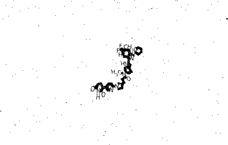 CN(C(=O)CCC1CCN(c2ccc(C3CCC(=O)NC3=O)cn2)C1)c1ccc2cc(-c3nn(C4CCCCO4)c4c3C[C@@H]3C(F)(F)[C@]3(C)C4)[nH]c2c1